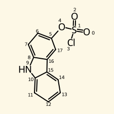 O=S(=O)(Cl)Oc1ccc2[nH]c3ccccc3c2c1